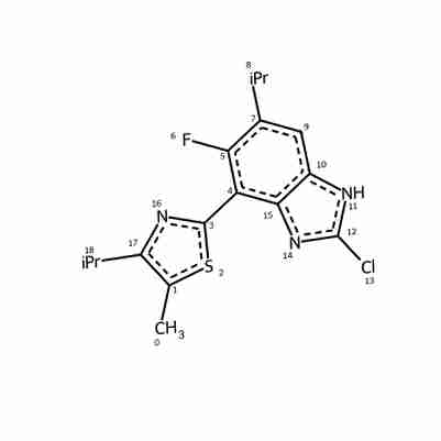 Cc1sc(-c2c(F)c(C(C)C)cc3[nH]c(Cl)nc23)nc1C(C)C